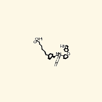 O=C(O)CCCCCCc1ccc(Cc2nnc(-c3cccc(Oc4ccc5[nH]ccc5c4)c3)[nH]2)cc1